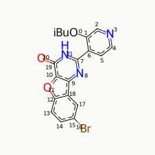 CC(C)COc1cnccc1-c1nc2c(oc3ccc(Br)cc32)c(=O)[nH]1